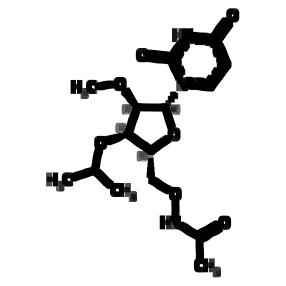 CO[C@@H]1[C@H](OC(C)C)[C@@H](CONC(C)=O)O[C@H]1n1ccc(=O)[nH]c1=O